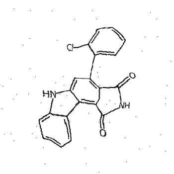 O=C1NC(=O)c2c1c(-c1ccccc1Cl)cc1[nH]c3ccccc3c21